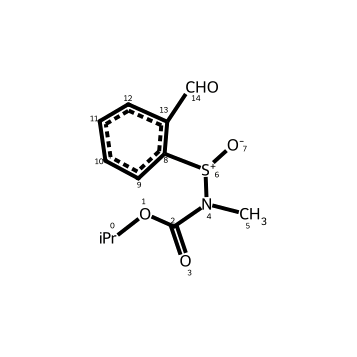 CC(C)OC(=O)N(C)[S+]([O-])c1ccccc1C=O